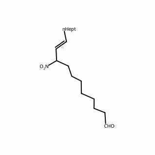 CCCCCCC/C=C/C(CCCCCCC[C]=O)[N+](=O)[O-]